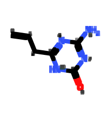 C=CCc1nc(N)nc(=O)[nH]1